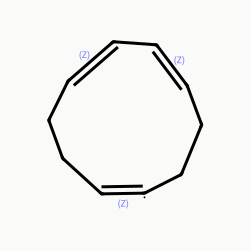 [C]1=C\CC/C=C\C=C/CC/1